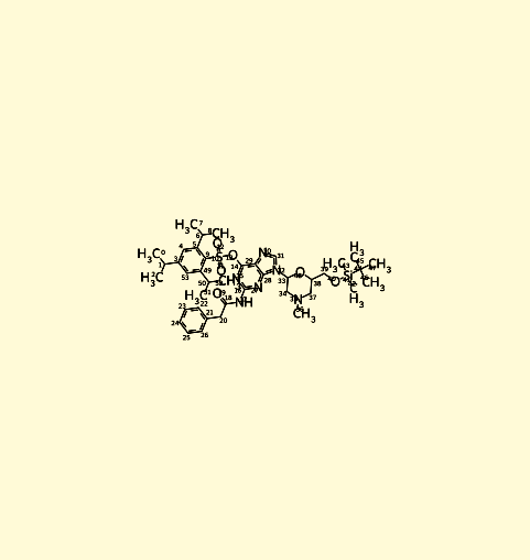 CC(C)c1cc(C(C)C)c(S(=O)(=O)Oc2nc(NC(=O)Cc3ccccc3)nc3c2ncn3C2CN(C)CC(CO[Si](C)(C)C(C)(C)C)O2)c(C(C)C)c1